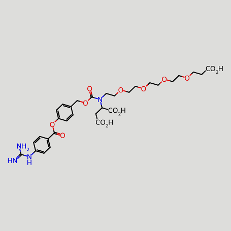 N=C(N)Nc1ccc(C(=O)Oc2ccc(COC(=O)N(CCOCCOCCOCCOCCC(=O)O)C(CC(=O)O)C(=O)O)cc2)cc1